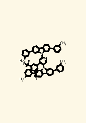 Cc1cccc(-c2ccc3c4ccc(-c5cccc(C)c5)cc4n(-c4cc(-c5cc(C#N)cc(C(F)(F)F)c5)c(-n5c6cc(-c7cccc(C)c7)ccc6c6ccc(-c7cccc(C)c7)cc65)cn4)c3c2)c1